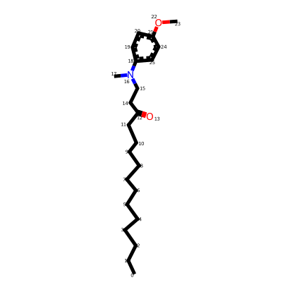 CCCCCCCCCCCCC(=O)CCN(C)c1ccc(OC)cc1